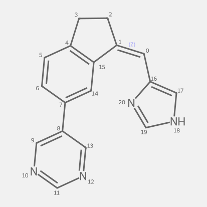 C(=C1\CCc2ccc(-c3cncnc3)cc21)/c1c[nH]cn1